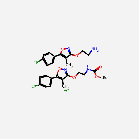 Cc1c(OCCN)noc1-c1ccc(Cl)cc1.Cc1c(OCCNC(=O)OC(C)(C)C)noc1-c1ccc(Cl)cc1.Cl